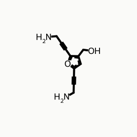 NCC#Cc1cc(CO)c(C#CCN)o1